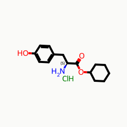 Cl.N[C@@H](Cc1ccc(O)cc1)C(=O)OC1CCCCC1